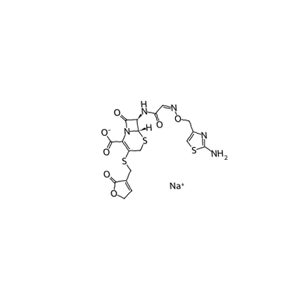 Nc1nc(CO/N=C\C(=O)N[C@@H]2C(=O)N3C(C(=O)[O-])=C(SCC4=CCOC4=O)CS[C@@H]23)cs1.[Na+]